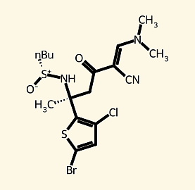 CCCC[S@@+]([O-])N[C@@](C)(CC(=O)/C(C#N)=C/N(C)C)c1sc(Br)cc1Cl